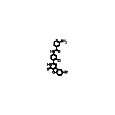 Nc1cc(C(=O)Nc2ccc(-c3nc4c(oc5ccc(Br)cc54)c(=O)[nH]3)c(Cl)c2)ccn1